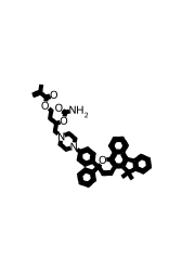 C=C(C)C(=O)OCCC(CN1CCN(c2ccc(C3(c4ccccc4)C=Cc4c5c(c6ccccc6c4O3)-c3ccccc3C5(C)C)cc2)CC1)OC(N)=O